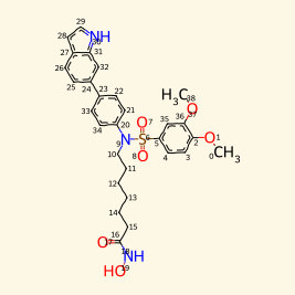 COc1ccc(S(=O)(=O)N(CCCCCCC(=O)NO)c2ccc(-c3ccc4cc[nH]c4c3)cc2)cc1OC